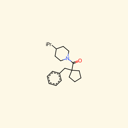 CC(C)C1CCN(C(=O)C2(Cc3ccccc3)CCCC2)CC1